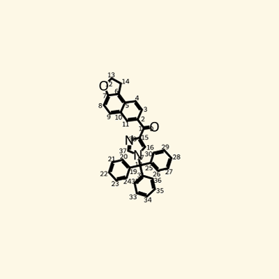 O=C(c1ccc2c3c(ccc2c1)OCC3)c1cn(C(c2ccccc2)(c2ccccc2)c2ccccc2)cn1